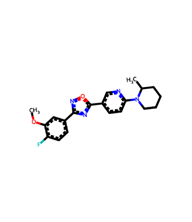 COc1cc(-c2noc(-c3ccc(N4CCCCC4C)nc3)n2)ccc1F